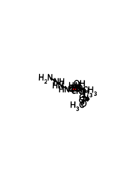 COC(=O)C1CCCN1C(=O)CC[C@@H](C)[C@H]1CC[C@H]2[C@@H]3[C@H](O)C[C@@H]4C[C@@H](NCCCNCCNCCCN)CC[C@]4(C)[C@H]3CC[C@]12C